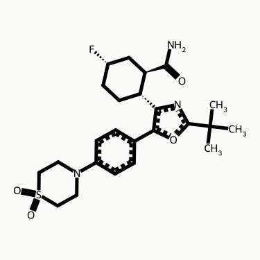 CC(C)(C)c1nc([C@@H]2CC[C@H](F)C[C@H]2C(N)=O)c(-c2ccc(N3CCS(=O)(=O)CC3)cc2)o1